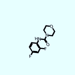 O=C(Nc1ccc(F)cc1F)N1CCOCC1